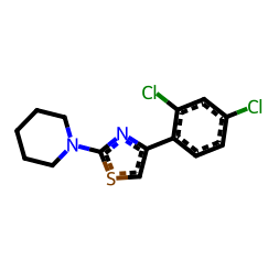 Clc1ccc(-c2csc(N3CCCCC3)n2)c(Cl)c1